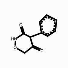 O=C1CONC(=O)C1c1ccccc1